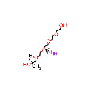 CC(C)(O)COCCOCCOCCOCCO.I.I.[Te]